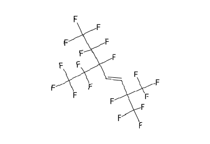 FC(F)(F)C(F)(F)C(F)(C=CC(F)(C(F)(F)F)C(F)(F)F)C(F)(F)C(F)(F)F